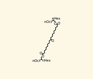 CCCCCCCCC(CCCCCC)COC(=O)CCCCCCCCC(=O)CCCCCCCCC(=O)OCC(CCCCCC)CCCCCCCC